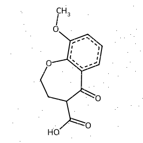 COc1cccc2c1OCCC(C(=O)O)C2=O